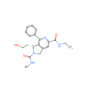 CC(C)NC(=O)N1Cc2cc(C(=O)NCC(F)(F)F)nc(-c3ccccc3)c2[C@H]1CCO